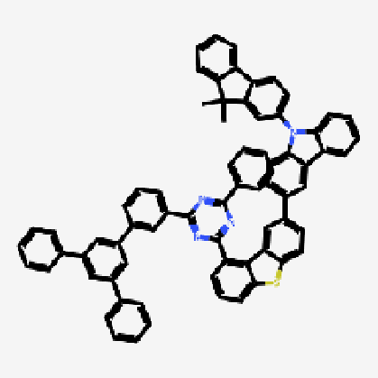 CC1(C)c2ccccc2-c2ccc(-n3c4ccccc4c4cc(-c5ccc6sc7cccc(-c8nc(-c9ccccc9)nc(-c9cccc(-c%10cc(-c%11ccccc%11)cc(-c%11ccccc%11)c%10)c9)n8)c7c6c5)ccc43)cc21